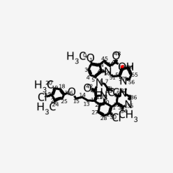 COc1ccc(N2C[C@@H](C)n3c(c(CCCOc4cc(C)c(Cl)c(C)c4)c4ccc(Cl)c(-c5c(C)ncnc5C)c43)C2=O)c2c1cc(C(=O)O)n2Cc1ccccn1